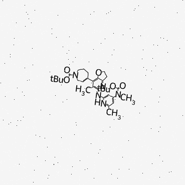 Cc1cc(N(C)C(=O)OC(C)(C)C)cc(Nc2nc3c(c(C4=CCN(C(=O)OC(C)(C)C)CCC4)c2C)OCC3)n1